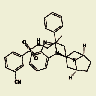 Cc1nc2ccccc2n1[C@H]1C[C@H]2CC[C@@H](C1)N2CCC(CNS(=O)(=O)c1cccc(C#N)c1)c1ccccc1